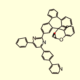 c1ccc(-c2cc(-c3ccc(-c4cccnc4)cc3)nc(-c3ccc4c(c3)C3(c5ccccc5Oc5ccccc53)c3ccccc3-c3ccccc3-4)n2)cc1